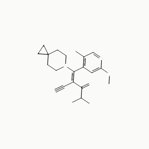 C#C/C(C(=O)C(C)C)=C(/c1cc(OC)ncc1C)N1CCC2(CC1)CC2